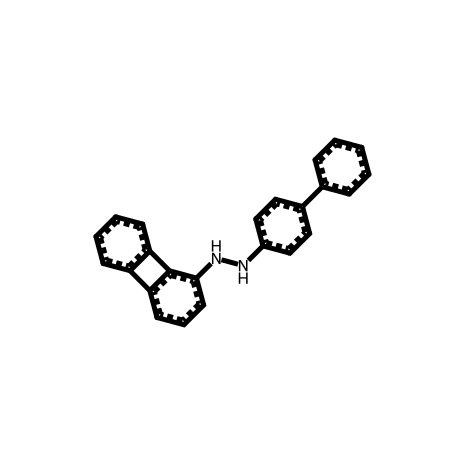 c1ccc(-c2ccc(NNc3cccc4c3-c3ccccc3-4)cc2)cc1